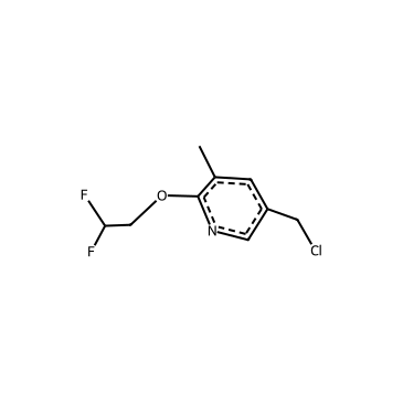 Cc1cc(CCl)cnc1OCC(F)F